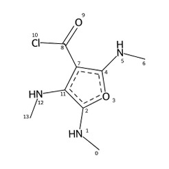 CNc1oc(NC)c(C(=O)Cl)c1NC